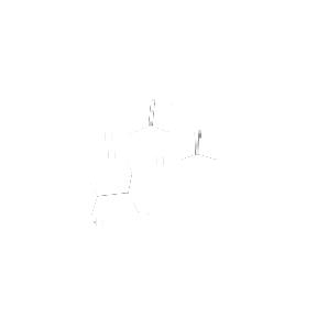 C=C(C)C(=O)O.C=C(C)C(=O)O.CC(C)C(CO)C(C)O